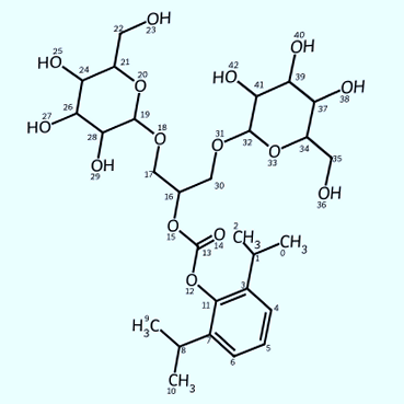 CC(C)c1cccc(C(C)C)c1OC(=O)OC(COC1OC(CO)C(O)C(O)C1O)COC1OC(CO)C(O)C(O)C1O